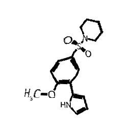 COc1ccc(S(=O)(=O)N2CCCCC2)cc1-c1ccc[nH]1